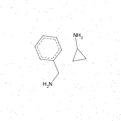 NC1CC1.NCc1ccccc1